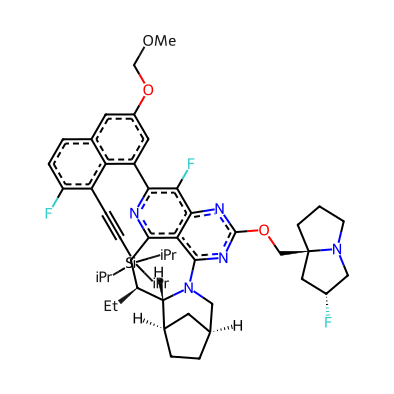 CC[C@H]1Cc2nc(-c3cc(OCOC)cc4ccc(F)c(C#C[Si](C(C)C)(C(C)C)C(C)C)c34)c(F)c3nc(OC[C@@]45CCCN4C[C@H](F)C5)nc(c23)N2C[C@H]3CC[C@H](C3)[C@H]12